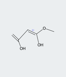 C=C(O)/C=C(\O)OC